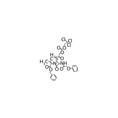 CC(C)=C(C(=O)OCc1ccccc1)N1C(=O)C(NC(=O)COc2ccccc2)C1SC(=O)COC(=O)OCC(Cl)(Cl)Cl